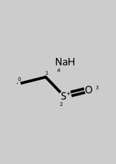 [CH2]C[S+]=O.[NaH]